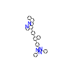 c1ccc(-c2nc(-c3ccccc3)nc(-c3ccc(-c4ccc(-c5ccc(-c6cc7cc8ccc9ccccc9c8nc7c7ncccc67)cc5)c5ccccc45)cc3)n2)cc1